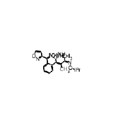 CO/N=C(/c1ccon1)c1ccccc1/C(ON)=C(C)/C(C)=N\OC(C)C